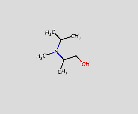 CC(C)N(C)C(C)CO